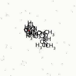 CCN1C(=O)[C@@H](NC(=O)CN(C)C)CCc2c1ccc(Nc1ncc(Cl)c(N[C@H]3[C@@H](OC(N)=O)[C@@H]4C=C[C@H]3C4)n1)c2OC